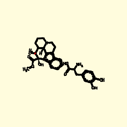 CC[C@]12CCCN3CCc4c(n(c5ccccc45)[C@@](O)(C(=O)OC)C1)[C@@H]32.NC(Cc1ccc(O)c(O)c1)C(=O)O